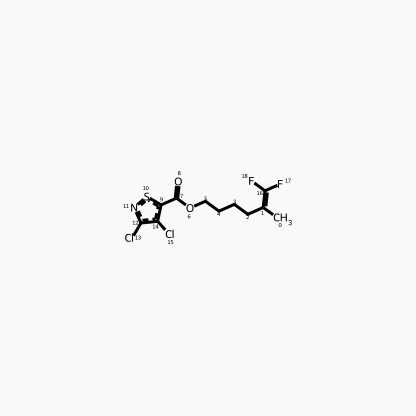 CC(CCCCOC(=O)c1snc(Cl)c1Cl)=C(F)F